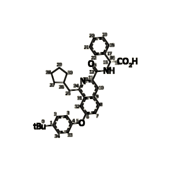 CC(C)(C)c1ccc(Oc2ccc3cc(C(=O)N[C@@H](C(=O)O)c4ccccc4)nc(CC4CCCC4)c3c2)cc1